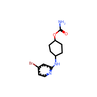 NC(=O)OC1CCC(Nc2cc(Br)ccn2)CC1